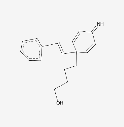 N=C1C=CC(C=Cc2ccccc2)(CCCCO)C=C1